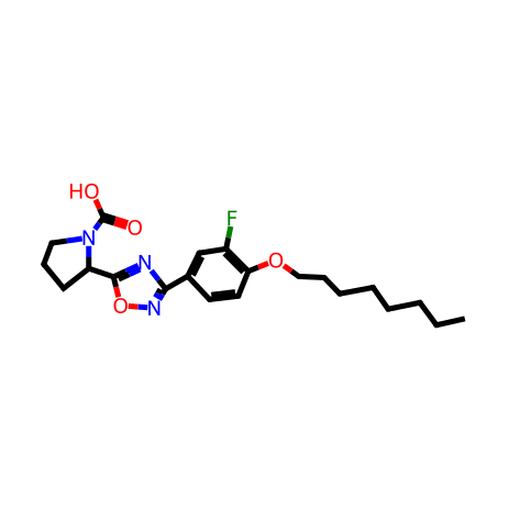 CCCCCCCCOc1ccc(-c2noc(C3CCCN3C(=O)O)n2)cc1F